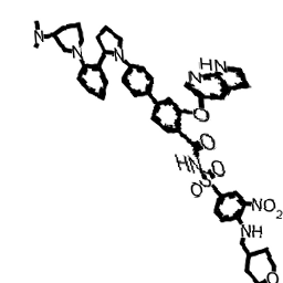 CN(C)C1CCCN(c2ccccc2C2CCCN2c2ccc(-c3ccc(C(=O)NS(=O)(=O)c4ccc(NCC5CCOCC5)c([N+](=O)[O-])c4)c(Oc4cnc5[nH]ccc5c4)c3)cc2)C1